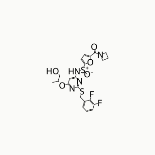 CC(CO)Oc1cc(N[S+]([O-])c2ccc(C(=O)N3CCC3)o2)nc(SCc2cccc(F)c2F)n1